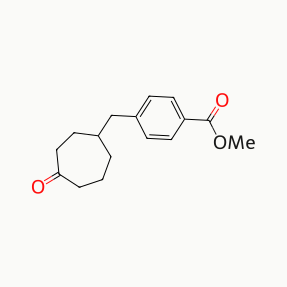 COC(=O)c1ccc(CC2CCCC(=O)CC2)cc1